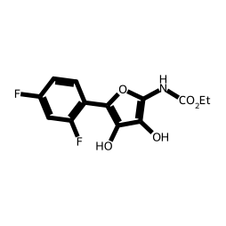 CCOC(=O)Nc1oc(-c2ccc(F)cc2F)c(O)c1O